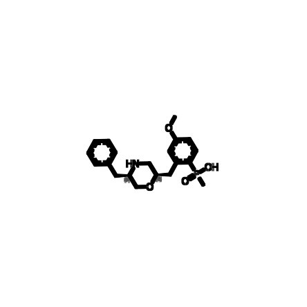 COc1ccc(P(C)(=O)O)c(C[C@@H]2CN[C@H](Cc3ccccc3)CO2)c1